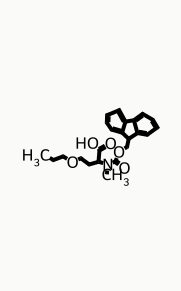 CCCOCCC(C(=O)O)N(C)C(=O)OCC1c2ccccc2-c2ccccc21